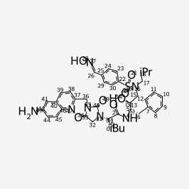 CC[C@H](C)[C@@H](C(=O)N[C@@H](Cc1ccccc1)[C@@H](O)CN(CC(C)C)S(=O)(=O)c1ccc(C=NO)cc1)N1CC(=O)N(Cc2ccc3cc(N)ccc3n2)C1=O